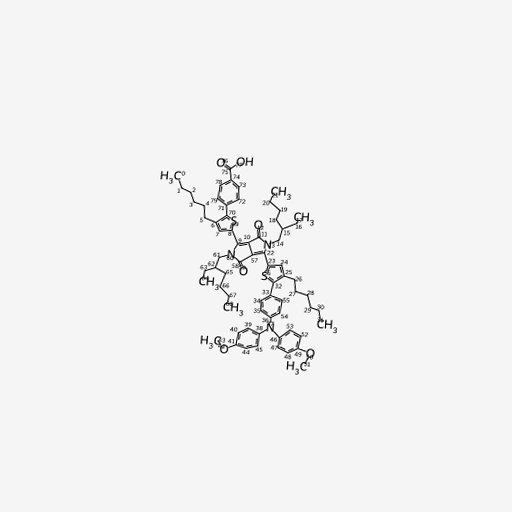 CCCCCCc1cc(C2=C3C(=O)N(CC(CC)CCCC)C(c4cc(CCCCCC)c(-c5ccc(N(c6ccc(OC)cc6)c6ccc(OC)cc6)cc5)s4)=C3C(=O)N2CC(CC)CCCC)sc1-c1ccc(C(=O)O)cc1